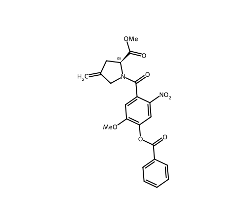 C=C1C[C@@H](C(=O)OC)N(C(=O)c2cc(OC)c(OC(=O)c3ccccc3)cc2[N+](=O)[O-])C1